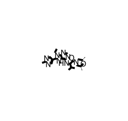 CCn1c(-c2cnc(C)nc2)nc2c(NC(C(=O)N3C[C@@H](C)O[C@@H](C)C3)C(C)C)ncnc21